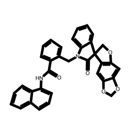 O=C(Nc1cccc2ccccc12)c1ccccc1CN1C(=O)C2(COc3cc4c(cc32)OCO4)c2ccccc21